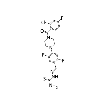 NC(=S)NN=Cc1cc(F)c(N2CCN(C(=O)c3ccc(F)cc3Cl)CC2)cc1F